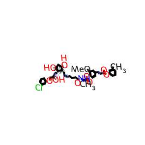 COc1cc(/C=C/C(=O)Oc2cccc(C)c2)ccc1OC(=O)C(C)NC(=O)CCC/C=C\C[C@@H]1[C@@H](/C=C/[C@@H](O)COc2cccc(Cl)c2)[C@H](O)C[C@@H]1O